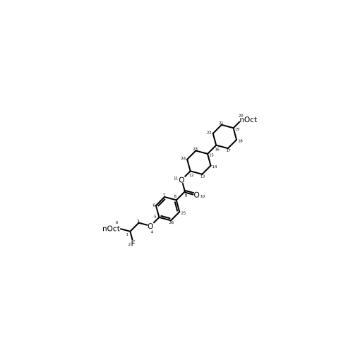 CCCCCCCCC(F)COc1ccc(C(=O)OC2CCC(C3CCC(CCCCCCCC)CC3)CC2)cc1